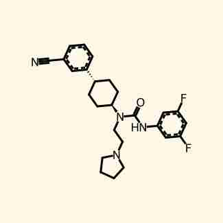 N#Cc1cccc([C@H]2CC[C@H](N(CCN3CCCC3)C(=O)Nc3cc(F)cc(F)c3)CC2)c1